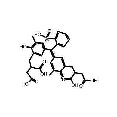 CC1=C/C(=C(\c2cc(C)c(O)c(CC(CC(=O)O)C(=O)O)c2)c2ccccc2S(=O)(=O)O)C=C(CC(CC(=O)O)C(=O)O)C1=O